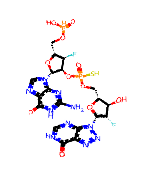 Nc1nc2c(ncn2[C@@H]2O[C@H](CO[PH](=O)O)[C@@H](F)[C@H]2OP(=O)(S)OC[C@H]2O[C@@H](n3nnc4c(=O)[nH]cnc43)[C@@H](F)[C@@H]2O)c(=O)[nH]1